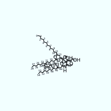 CCCCCCCCCCCCCC[C@H](OC(=O)CCCCCCCCCCC)C(=O)O[C@H]1[C@H](O)[C@@H](CO)OC[C@H]1NC(=O)C[C@@H](CCCCCCCCC)OCOCC[Si](C)(C)C